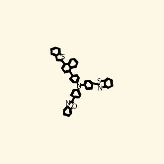 c1ccc2sc(-c3ccc(-c4ccc(N(c5ccc(-c6nc7ccccc7o6)cc5)c5ccc(-c6nc7ccccc7s6)cc5)cc4)c4ccccc34)cc2c1